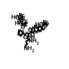 NCCC[C@H](N)C(=O)N[C@H](CCc1ccccc1)C(=O)Nc1cc2ccccc2nn1.O=C(O)C(F)(F)F.O=C(O)C(F)(F)F.O=C(O)C(F)(F)F